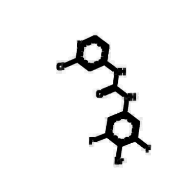 O=C(Nc1ccnc(Cl)c1)Nc1cc(F)c(Br)c(F)c1